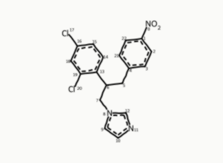 O=[N+]([O-])c1ccc(CC(Cn2ccnc2)c2ccc(Cl)cc2Cl)cc1